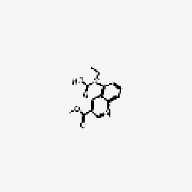 CCN(C(=O)O)c1cccc2ncc(C(=O)OC)cc12